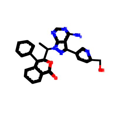 CC(c1oc(=O)c2ccccc2c1-c1ccccc1)n1nc(-c2ccc(CO)nc2)c2c(N)ncnc21